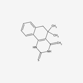 C=C1NC(=S)NC2=C1C(C)(C)Cc1ccccc12